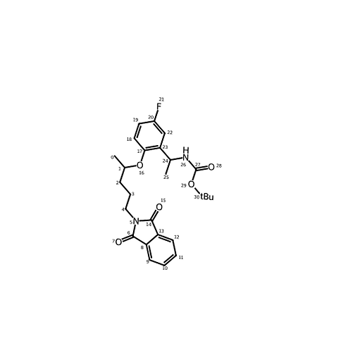 CC(CCCN1C(=O)c2ccccc2C1=O)Oc1ccc(F)cc1C(C)NC(=O)OC(C)(C)C